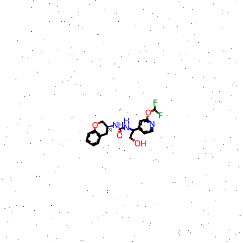 O=C(NC(CO)c1ccnc(OC(F)F)c1)N[C@@H]1COc2ccccc2C1